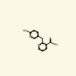 NC(=O)c1cccnc1Cc1ccc(O)nc1